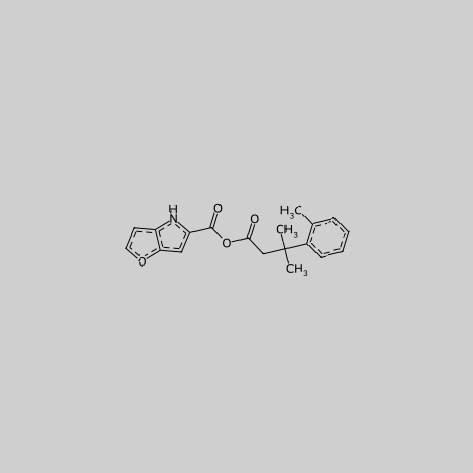 Cc1ccccc1C(C)(C)CC(=O)OC(=O)c1cc2occc2[nH]1